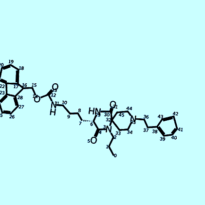 CCCN1C(=O)[C@H](CCCCNC(=O)OCC2c3ccccc3-c3ccccc32)NC(=O)C12CCN(CCc1ccccc1)CC2